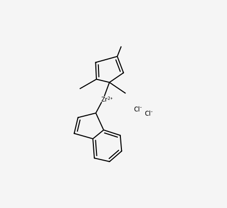 CC1=C[C](C)([Zr+2][CH]2C=Cc3ccccc32)C(C)=C1.[Cl-].[Cl-]